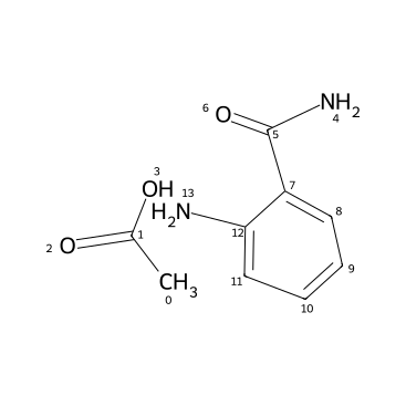 CC(=O)O.NC(=O)c1ccccc1N